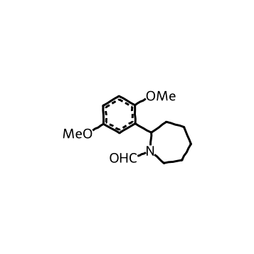 COc1ccc(OC)c(C2CCCCCN2C=O)c1